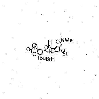 Br.CCOc1cc2c(cc1CC(=O)NC)C(=N)N(CC(=O)c1cc3c(c(C(C)(C)C)c1)OCC(=O)c1cccn1-3)C2